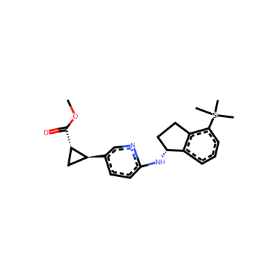 COC(=O)[C@H]1C[C@@H]1c1ccc(N[C@@H]2CCc3c2cccc3[Si](C)(C)C)nc1